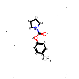 O=C(Oc1ccc(C(F)(F)F)cc1)N1CCCC1